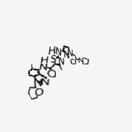 Cc1ccc2c(cnn2C2CCCCO2)c1NC(=O)c1sc(Nc2ccn(CC(=O)N3CCCC3)n2)nc1C